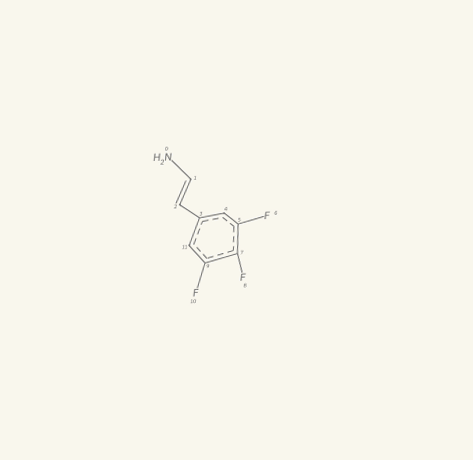 N/C=C/c1cc(F)c(F)c(F)c1